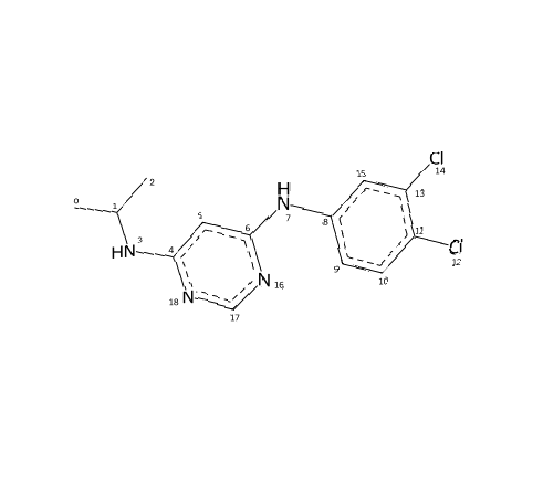 CC(C)Nc1cc(Nc2ccc(Cl)c(Cl)c2)ncn1